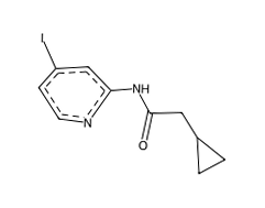 O=C(CC1CC1)Nc1cc(I)ccn1